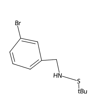 CC(C)(C)SNCc1cccc(Br)c1